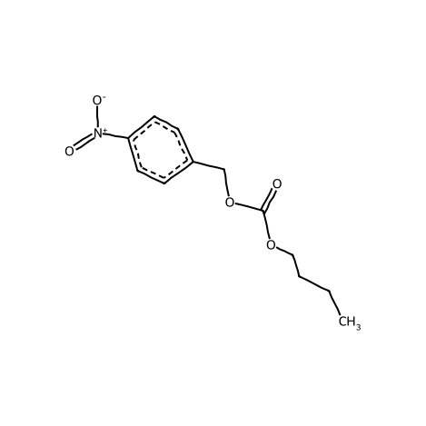 CCCCOC(=O)OCc1ccc([N+](=O)[O-])cc1